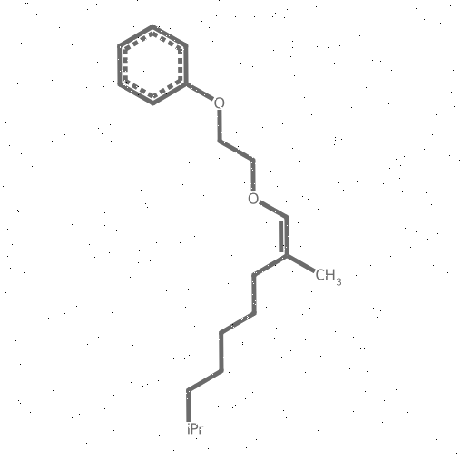 CC(=COCCOc1ccccc1)CCCCCC(C)C